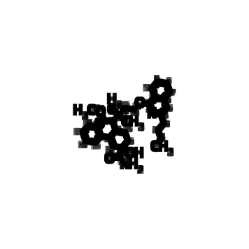 CCCCc1cc2ccccc2c(OCC[N+](C)(C)C(C(=O)OC)C2=CC[C@](O)(C(N)=O)C=C2c2ccccc2)n1